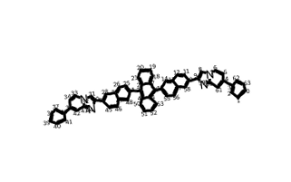 c1ccc(-c2ccn3cc(-c4ccc5cc(-c6c7ccccc7c(-c7ccc8cc(-c9cn%10ccc(-c%11ccccc%11)cc%10n9)ccc8c7)c7ccccc67)ccc5c4)nc3c2)cc1